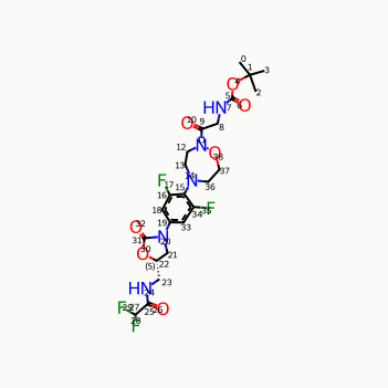 CC(C)(C)OC(=O)NCC(=O)N1CCN(c2c(F)cc(N3C[C@H](CNC(=O)C(F)F)OC3=O)cc2F)CCO1